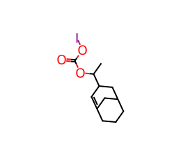 CC(OC(=O)OI)C1C=C2CCCC(C2)C1